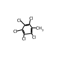 Cc1c(Cl)c(Cl)c(Cl)c(Cl)c1Cl